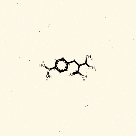 CC(C)C(Cc1ccc(B(O)O)cc1)C(=O)O